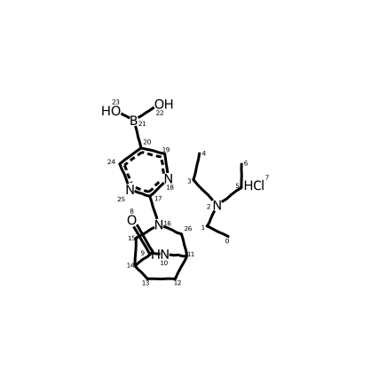 CCN(CC)CC.Cl.O=C1NC2CCC1CN(c1ncc(B(O)O)cn1)C2